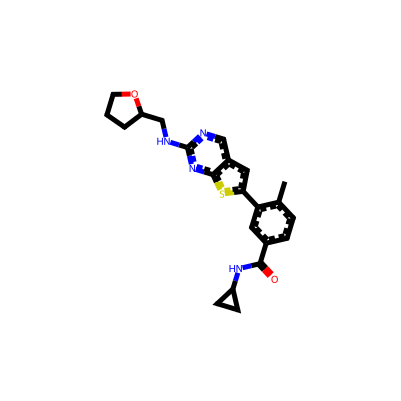 Cc1ccc(C(=O)NC2CC2)cc1-c1cc2cnc(NCC3CCCO3)nc2s1